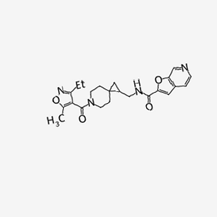 CCc1noc(C)c1C(=O)N1CCC2(CC1)CC2CNC(=O)c1cc2ccncc2o1